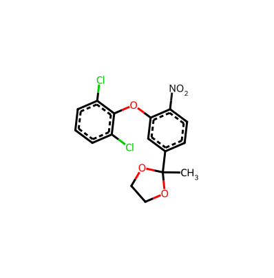 CC1(c2ccc([N+](=O)[O-])c(Oc3c(Cl)cccc3Cl)c2)OCCO1